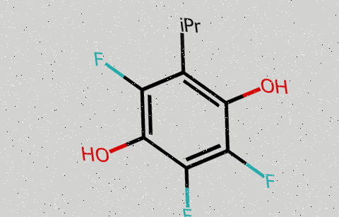 CC(C)c1c(O)c(F)c(F)c(O)c1F